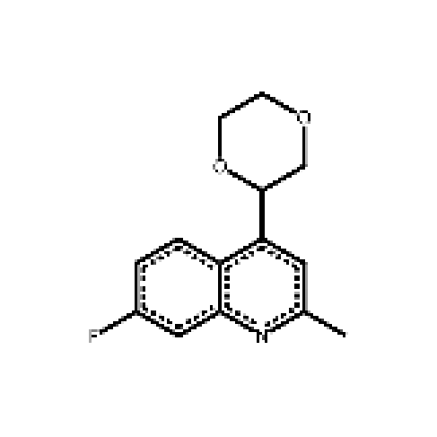 Cc1cc(C2COCCO2)c2ccc(F)cc2n1